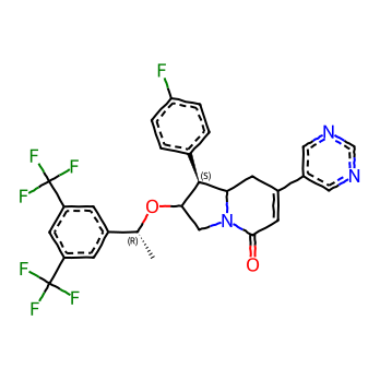 C[C@@H](OC1CN2C(=O)C=C(c3cncnc3)CC2[C@@H]1c1ccc(F)cc1)c1cc(C(F)(F)F)cc(C(F)(F)F)c1